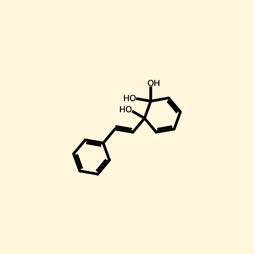 OC1(O)C=CC=CC1(O)C=Cc1ccccc1